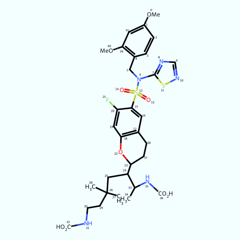 COc1ccc(CN(c2ncns2)S(=O)(=O)c2cc3c(cc2F)OC(C(CC(C)(C)CCNC(=O)O)C(C)NC(=O)O)CC3)c(OC)c1